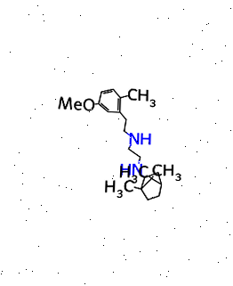 COc1ccc(C)c(CCNCCNC2CC3CCC2(C)C3(C)C)c1